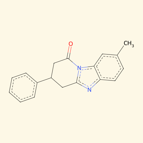 Cc1ccc2nc3n(c2c1)C(=O)CC(c1ccccc1)C3